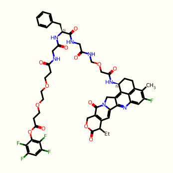 CCC1C(=O)OCc2c1cc1n(c2=O)Cc2c-1nc1cc(F)c(C)c3c1c2[C@@H](NC(=O)COCNC(=O)CNC(=O)[C@H](Cc1ccccc1)NC(=O)CNC(=O)CCOCCOCCC(=O)Oc1c(F)c(F)cc(F)c1F)CC3